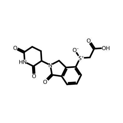 O=C(O)C[S+]([O-])c1cccc2c1CN(C1CCC(=O)NC1=O)C2=O